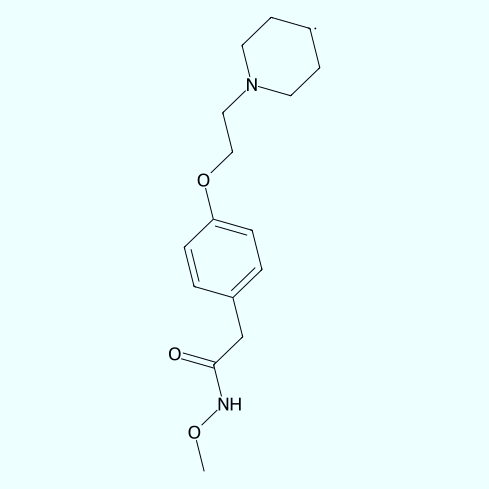 CONC(=O)Cc1ccc(OCCN2CC[CH]CC2)cc1